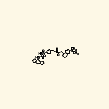 CN(C)c1ccc2c(c1)CCC=C2CC(=O)NCCc1ccc(S(=O)(=O)NC(=O)Nc2c3c(cc4c2CCC4)CCC3)cc1